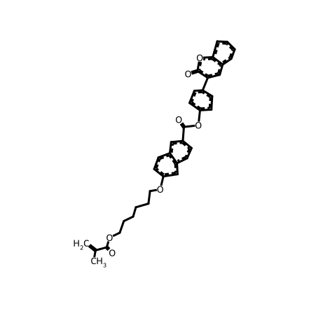 C=C(C)C(=O)OCCCCCCOc1ccc2cc(C(=O)Oc3ccc(-c4cc5ccccc5oc4=O)cc3)ccc2c1